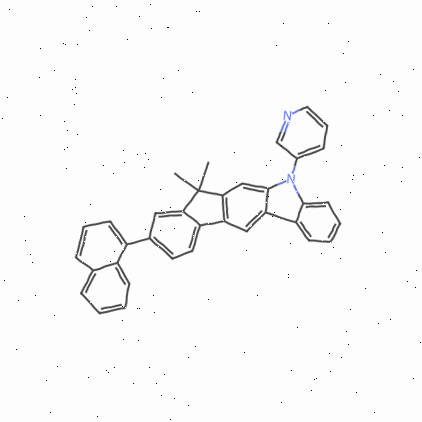 CC1(C)c2cc(-c3cccc4ccccc34)ccc2-c2cc3c4ccccc4n(-c4cccnc4)c3cc21